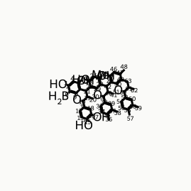 Bc1c(O)cc(O)c2c1OC(c1ccc(O)c(O)c1)C(C)C2c1c(O)cc(O)c2c1OC(c1ccc(C)c(C)c1)C(C)C2c1[c]([Mo])cc(C)c2c1OC(c1ccc(C)c(C)c1)C(C)C2